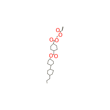 C=CC(=O)OCOC(=O)C1CCC(C(=O)OC2CCC(C3CCC(CCC)CC3)CC2)CC1